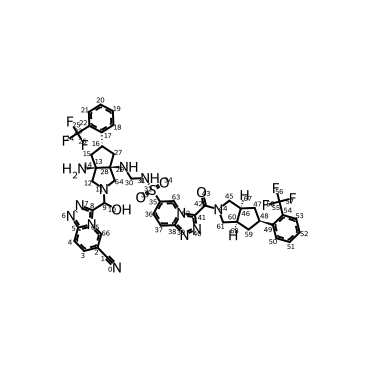 N#Cc1ccc2nnc(C(O)N3C[C@]4(N)C[C@H](c5ccccc5C(F)(F)F)C[C@]4(NCNS(=O)(=O)c4ccc5nnc(C(=O)N6C[C@H]7C[C@@H](c8ccccc8C(F)(F)F)C[C@H]7C6)n5c4)C3)n2c1